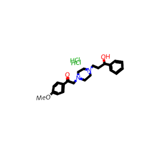 COc1ccc(C(=O)CN2CCN(CCC(O)c3ccccc3)CC2)cc1.Cl.Cl